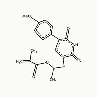 C=C(C)C(=O)OC(C)Cn1cc(-c2ccc(OC)cc2)c(=O)[nH]c1=S